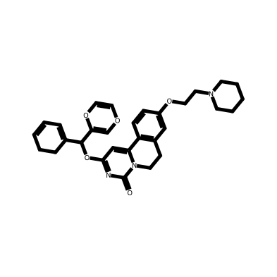 O=c1nc(OC(C2=CC=CCC2)C2=COC=CO2)cc2n1CCc1cc(OCCN3CCCCC3)ccc1-2